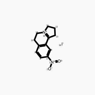 O=[N+]([O-])c1ccc2c(c1)C1=[N+](CCC1)CC2.[I-]